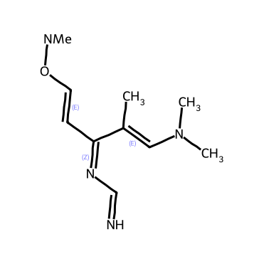 CNO/C=C/C(=N/C=N)C(/C)=C/N(C)C